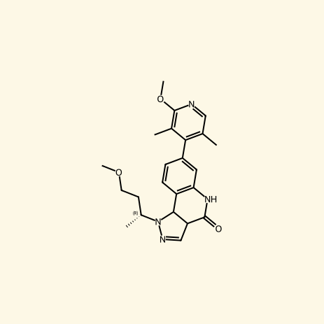 COCC[C@@H](C)N1N=CC2C(=O)Nc3cc(-c4c(C)cnc(OC)c4C)ccc3C21